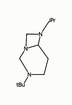 CC(C)N1CN2CN(C(C)(C)C)CCC21